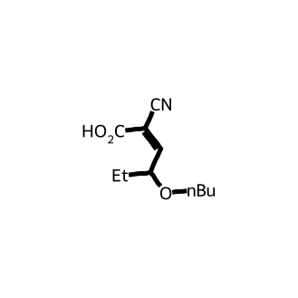 CCCCOC(C=C(C#N)C(=O)O)CC